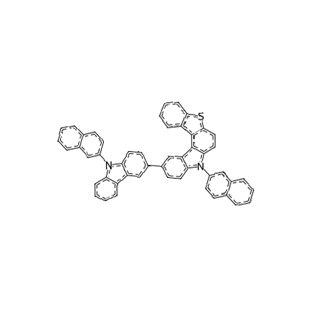 c1ccc2cc(-n3c4ccccc4c4cc(-c5ccc6c(c5)c5c7c(ccc5n6-c5ccc6ccccc6c5)sc5ccccc57)ccc43)ccc2c1